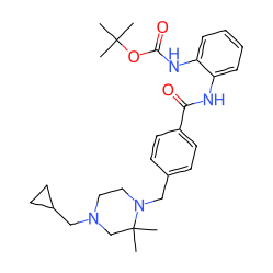 CC(C)(C)OC(=O)Nc1ccccc1NC(=O)c1ccc(CN2CCN(CC3CC3)CC2(C)C)cc1